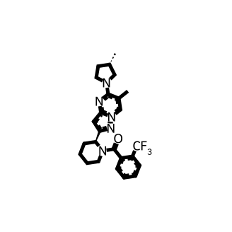 Cc1cn2nc([C@@H]3CCCCN3C(=O)c3ccccc3C(F)(F)F)cc2nc1N1CC[C@H](C)C1